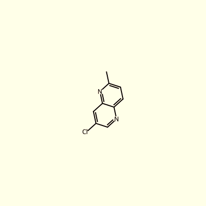 Cc1ccc2ncc(Cl)cc2n1